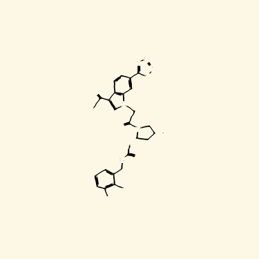 CC(=O)c1cn(CC(=O)N2C[C@H](F)C[C@@H]2OC(=O)NCc2cccc(Cl)c2F)c2cc(-c3nnn[nH]3)ccc12